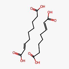 O=C(O)C=CCCCCC(=O)O.O=C(O)C=CCCCCCC(=O)O